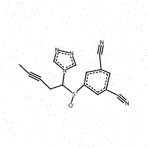 CC#CCC(n1cnnc1)[S+]([O-])c1cc(C#N)cc(C#N)c1